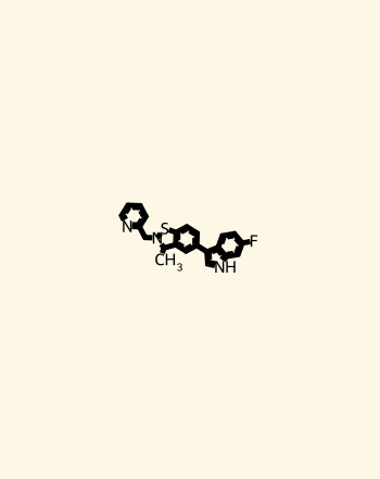 CC1c2cc(-c3c[nH]c4cc(F)ccc34)ccc2SN1Cc1ccccn1